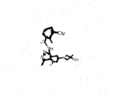 Cc1c(C#N)cccc1[C@@H](C)Nc1nnc(C)c2c(F)cc(N3CC(C)(O)C3)cc12